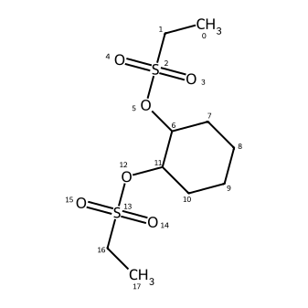 CCS(=O)(=O)OC1CCCCC1OS(=O)(=O)CC